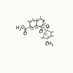 CC(=O)c1ccc2ccc(O[C@H]3CC[C@@H](C)CC3)c(Cl)c2c1